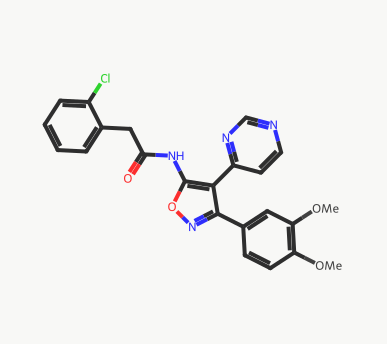 COc1ccc(-c2noc(NC(=O)Cc3ccccc3Cl)c2-c2ccncn2)cc1OC